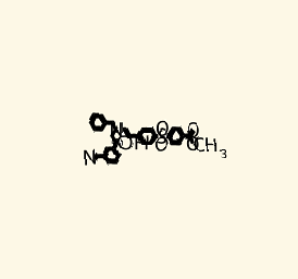 COC(=O)c1ccc(S(=O)(=O)c2ccc(CCN(Cc3ccccc3)C[C@H](O)c3cccc(C#N)c3)cc2)cc1